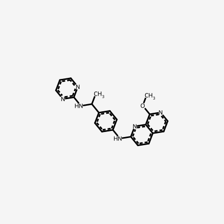 COc1nccc2ccc(Nc3ccc(C(C)Nc4ncccn4)cc3)nc12